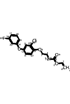 CCOC(=O)NCCOc1ccc(Oc2cccc(F)c2)cc1Cl